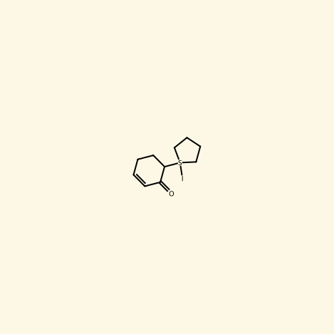 O=C1C=CCCC1S1(I)CCCC1